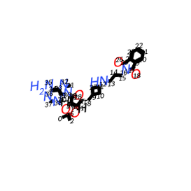 CC1(C)O[C@@H]2[C@H](O1)[C@@H](CC1CC(NCCCN3C(=O)c4ccccc4C3=O)C1)O[C@H]2n1cnc2c(N)ncnc21